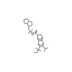 C=C(OC(C)(C)CC1CCC2CCCC21)C1CC2CC1C1C3CC(C21)C(C(C)C)C3C(C)(C)CC